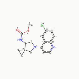 CC(C)(C)OC(=O)NC1CN(c2ccnc3ccc(Br)cc23)CC12CC2